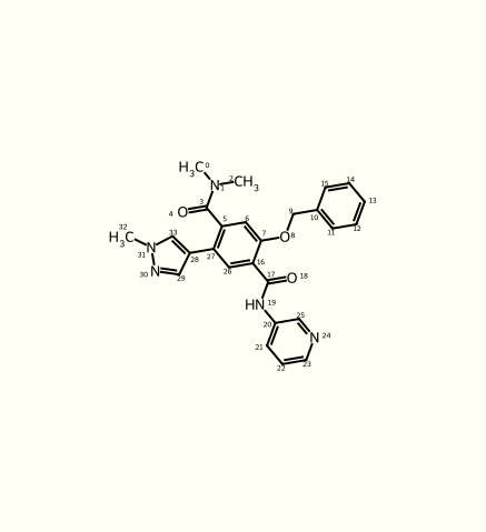 CN(C)C(=O)c1cc(OCc2ccccc2)c(C(=O)Nc2cccnc2)cc1-c1cnn(C)c1